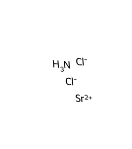 N.[Cl-].[Cl-].[Sr+2]